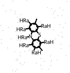 Cc1[c]([RaH])[c]([RaH])c2c([c]1[RaH])Sc1[c]([RaH])c(C)[c]([RaH])[c]([RaH])c1[N]2[RaH]